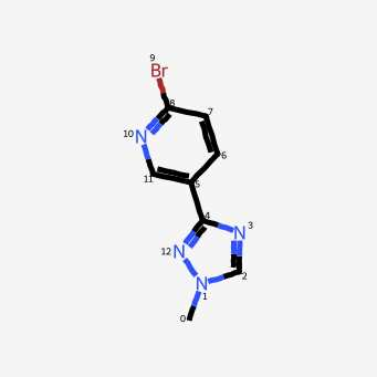 Cn1cnc(-c2ccc(Br)nc2)n1